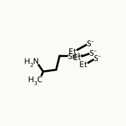 CC(N)C[CH2][Sn+3].CC[S-].CC[S-].CC[S-]